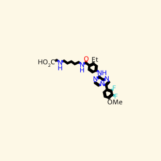 CCc1cc(Nc2nccn3c(-c4ccc(OC)c(F)c4F)cnc23)ccc1C(=O)NCCCCCNCC(=O)O